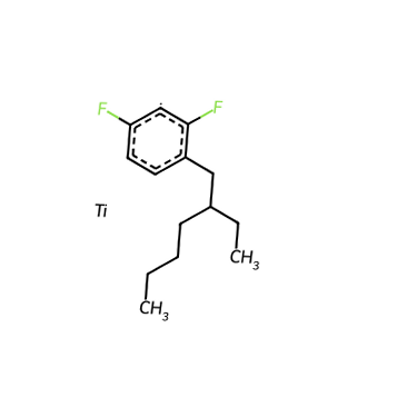 CCCCC(CC)Cc1ccc(F)[c]c1F.[Ti]